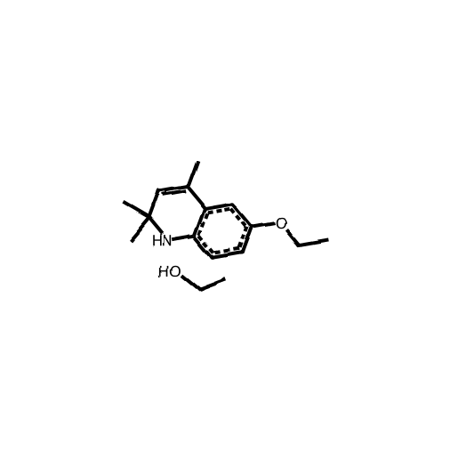 CCO.CCOc1ccc2c(c1)C(C)=CC(C)(C)N2